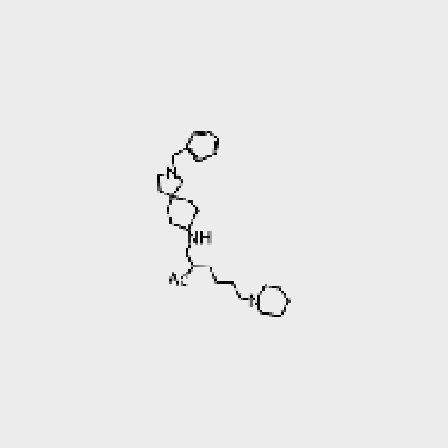 CC(=O)C(CCCCN1CCCCC1)CNC1CCC2(CC1)CCN(Cc1ccccc1)C2